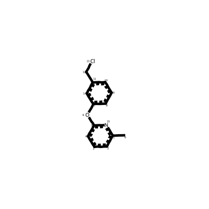 Cc1cccc(Oc2cccc(CCl)c2)n1